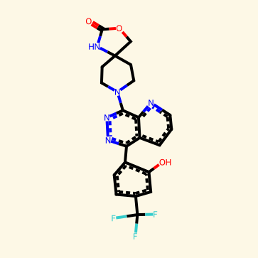 O=C1NC2(CCN(c3nnc(-c4ccc(C(F)(F)F)cc4O)c4cccnc34)CC2)CO1